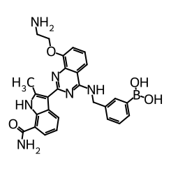 Cc1[nH]c2c(C(N)=O)cccc2c1-c1nc(NCc2cccc(B(O)O)c2)c2cccc(OCCN)c2n1